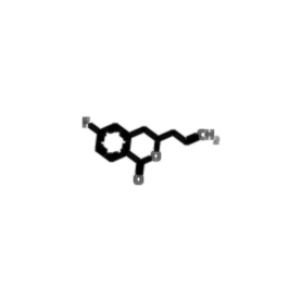 C=CCC1Cc2cc(F)ccc2C(=O)O1